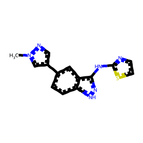 Cn1cc(-c2ccc3[nH]nc(Nc4nccs4)c3c2)cn1